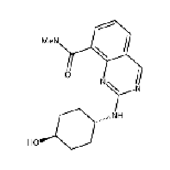 CNC(=O)c1cccc2cnc(N[C@H]3CC[C@H](O)CC3)nc12